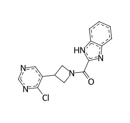 O=C(c1nc2ccccc2[nH]1)N1CC(c2cncnc2Cl)C1